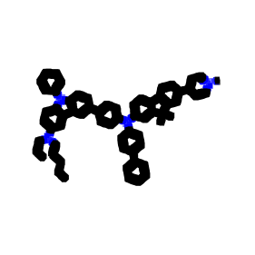 C/C=C\N(/C=C/CCC)c1ccc2c(c1)c1cc(-c3ccc(N(c4ccc(-c5ccccc5)cc4)c4ccc5c(c4)C(C)(C)c4cc(-c6cc[n+](C)cc6)ccc4-5)cc3)ccc1n2-c1ccccc1